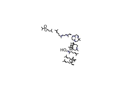 C/C1=C\CC/C(C)=C/CC(C)(C)/C=C/C1.C=C/C(C)=C/C/C=C(\C)CCC=C(C)C.C=C1CC/C=C(\C)CC[C@@H]2[C@@H]1CC2(C)C.C=CC(=C)CCC=C(C)C.C=CC(C)(O)CCC=C(C)C.CC(C)=CCC/C(C)=C/CO.CC(C)CCOC(=O)C(C)C